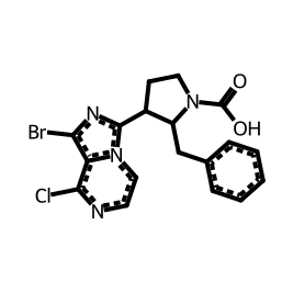 O=C(O)N1CCC(c2nc(Br)c3c(Cl)nccn23)C1Cc1ccccc1